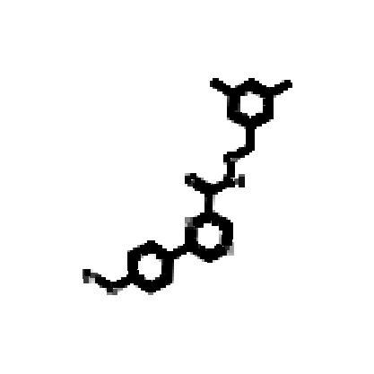 CCOc1ccc(-c2cncc(C(=O)NOCc3cc(C)cc(C)c3)n2)cc1